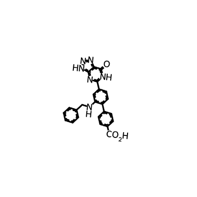 O=C(O)c1ccc(-c2ccc(-c3nc4[nH]nnc4c(=O)[nH]3)cc2NCc2ccccc2)cc1